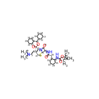 CN(C)/C=C/C1=C(C(=O)OC(c2ccccc2)c2ccccc2)N2C(=O)C(NC(=O)Cc3ccccc3NC(=O)OC(C)(C)C)C2SC1